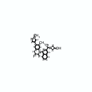 Cc1cc2c(cc1-c1cnn(C)c1)CC(F)C(F)N2c1nc(C(=O)N2CC(O)C2)cc2ccccc12